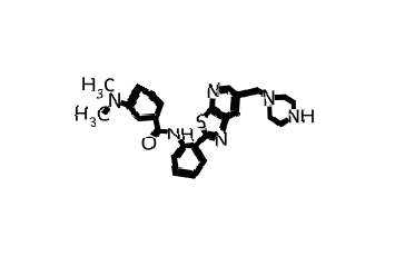 CN(C)c1cccc(C(=O)Nc2ccccc2-c2nc3cc(CN4CCNCC4)cnc3s2)c1